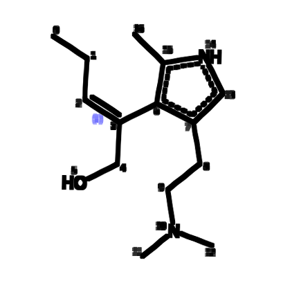 CC/C=C(/CO)c1c(CCN(C)C)c[nH]c1C